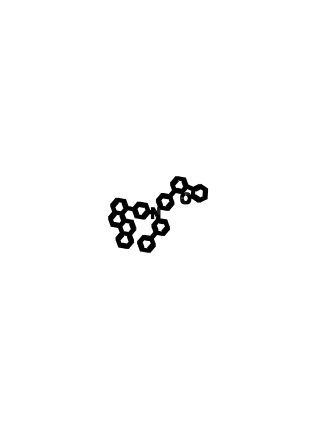 c1ccc(-c2cccc(N(c3ccc(-c4cccc5c4oc4ccccc45)cc3)c3ccc(-c4cccc5ccc6c7ccccc7ccc6c45)cc3)c2)cc1